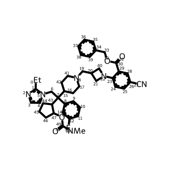 CCc1nccn1CC(c1cccc(F)c1)(C1CCN(CC2CN(c3ccc(C#N)cc3C(=O)OCc3ccccc3)C2)CC1)C1CCCC1OC(=O)NC